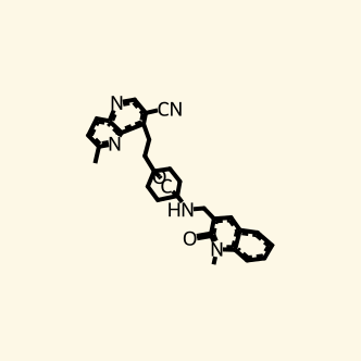 Cc1ccc2ncc(C#N)c(CCC34CCC(NCc5cc6ccccc6n(C)c5=O)(CC3)CO4)c2n1